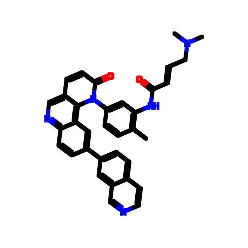 Cc1ccc(-n2c(=O)ccc3cnc4ccc(-c5ccc6ccncc6c5)cc4c32)cc1NC(=O)/C=C/CN(C)C